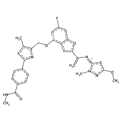 C=C(/N=c1/sc(OC)nn1C)c1cc2c(OCc3nc(-c4ccc(C(=O)NC)cc4)sc3C)cc(F)cc2o1